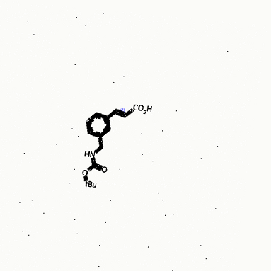 CC(C)(C)OC(=O)NCc1cccc(/C=C/C(=O)O)c1